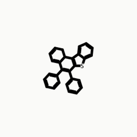 C1=CCC2C(=C1)C(c1ccccc1)=C(c1ccccc1)c1sc3ccccc3c12